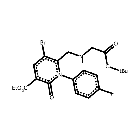 CCOC(=O)c1cc(Br)c(CNCC(=O)OC(C)(C)C)n(-c2ccc(F)cc2)c1=O